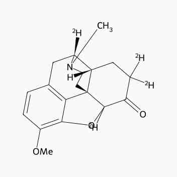 [2H]C1([2H])C[C@H]2[C@@]3([2H])Cc4ccc(OC)c5c4[C@@]2(CCN3C)C([2H])(O5)C1=O